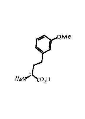 CN[C@@H](CCc1cccc(OC)c1)C(=O)O